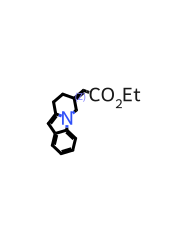 CCOC(=O)/C=C1/CCc2cc3ccccc3n2C1